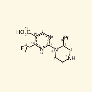 CC(C)C1CNCCN1c1ncc(C(=O)O)c(C(F)(F)F)n1